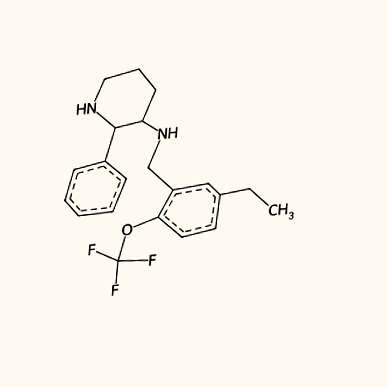 CCc1ccc(OC(F)(F)F)c(CNC2CCCNC2c2ccccc2)c1